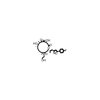 C/C(=C\c1cc(-c2ccc(F)cc2)on1)[C@@H]1C[C@@H]2N(CCO)[C@]2(C)CCC[C@H](C)[C@H](O)[C@@H](C)C(=O)C(C)(C)[C@@H](O)CC(=O)O1